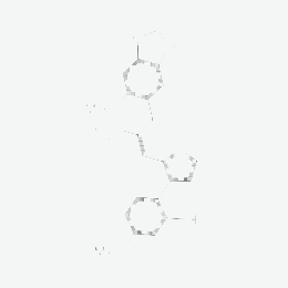 COc1ccc(-c2ccoc2/C=C(\Cc2cc3c(cc2OC)OCO3)C(=O)O)c(O)c1